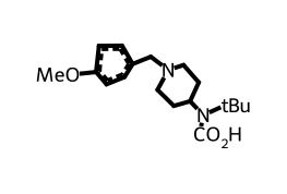 COc1ccc(CN2CCC(N(C(=O)O)C(C)(C)C)CC2)cc1